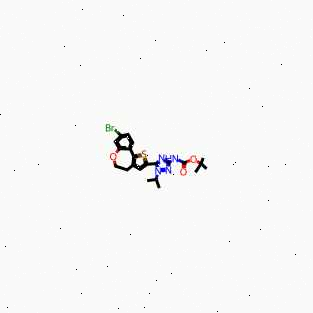 CC(C)n1nc(NC(=O)OC(C)(C)C)nc1-c1cc2c(s1)-c1ccc(Br)cc1OCC2